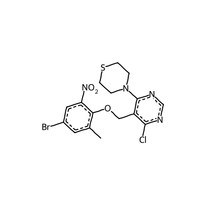 Cc1cc(Br)cc([N+](=O)[O-])c1OCc1c(Cl)ncnc1N1CCSCC1